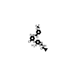 Nc1c(Oc2cc(NC(=O)c3cccc(OC(F)(F)F)c3)c(F)cc2Cl)ccc2nc(NC(=O)C3CC3)sc12